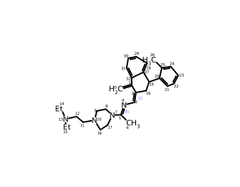 C=C1/C(=C\N=C(/C)N2CCN(CCN(CC)CC)CC2)CC(c2ccccc2C)c2ccccc21